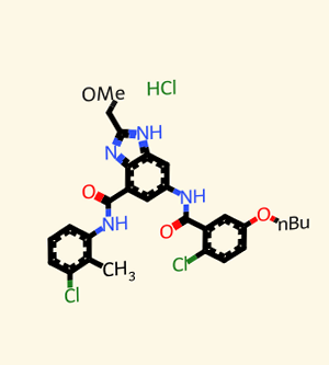 CCCCOc1ccc(Cl)c(C(=O)Nc2cc(C(=O)Nc3cccc(Cl)c3C)c3nc(COC)[nH]c3c2)c1.Cl